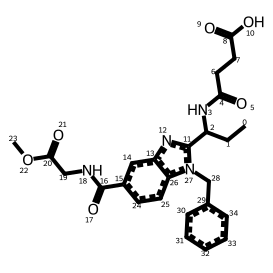 CCC(NC(=O)CCC(=O)O)c1nc2cc(C(=O)NCC(=O)OC)ccc2n1Cc1ccccc1